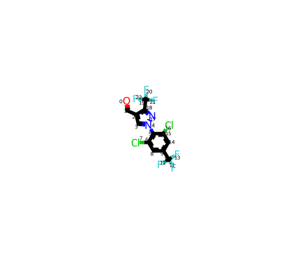 O=Cc1cn(-c2c(Cl)cc(C(F)(F)F)cc2Cl)nc1C(F)(F)F